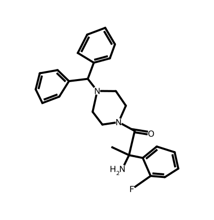 CC(N)(C(=O)N1CCN(C(c2ccccc2)c2ccccc2)CC1)c1ccccc1F